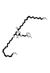 CC/C=C\C/C=C\C/C=C\CCCCCCCCOCC(COC(=O)CCCCCCC/C=C\CCCCCCCC)NC(=O)OCCN(C)C